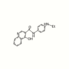 CCNc1ccc(NC(=O)c2cnc3ccccc3c2O)cc1